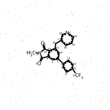 CN1C(=O)c2cc(-c3ccc(C(F)(F)F)cc3)cc(Cc3cccnc3)c2C1=O